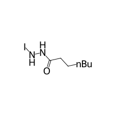 CCCCCCC(=O)NNI